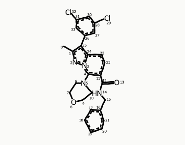 Cc1nn2c(N3CCOCC3)c(C(=O)NCc3ccccc3)ccc2c1-c1cc(Cl)cc(Cl)c1